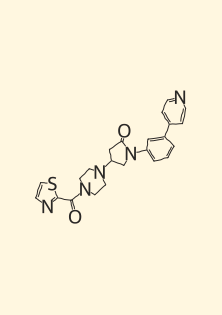 O=C(c1nccs1)N1CCN(C2CC(=O)N(c3cccc(-c4ccncc4)c3)C2)CC1